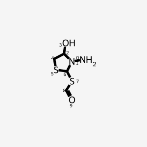 NN1C(O)CSC1SC=O